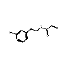 O=C(CCl)NCCc1cccc(Br)c1